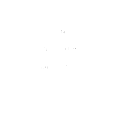 CCCCCCC(=N\c1cc(C)cc(C)c1)/C(CCCC)=N/c1cc(C)cc(C)c1.[Ni]